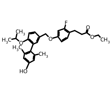 CCOC(=O)CCc1ccc(OCc2ccc(OC(C)C)c(-c3c(C)cc(O)cc3C)c2)cc1F